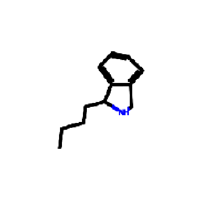 CCCCC1NCc2ccccc21